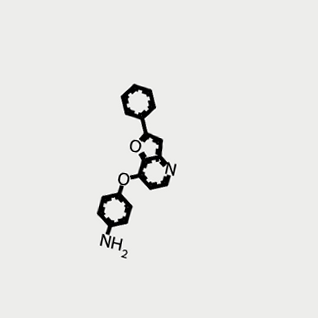 Nc1ccc(Oc2ccnc3cc(-c4ccccc4)oc23)cc1